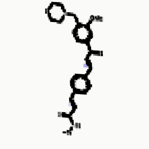 COc1cc(C(=O)/C=C/c2ccc(/C=C/C(=O)NO)cc2)ccc1CN1CCOCC1